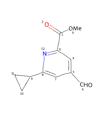 COC(=O)c1cc(C=O)cc(C2CC2)n1